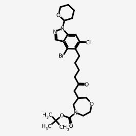 CC(C)(C)OC(=O)N1CCOCC(CC(=O)CCCCc2c(Cl)cc3c(cnn3C3CCCCO3)c2Br)C1